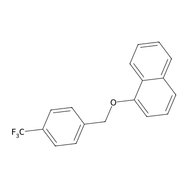 FC(F)(F)c1ccc(COc2cccc3ccccc23)cc1